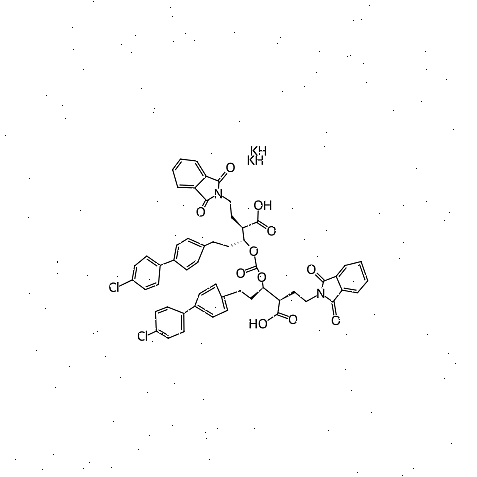 O=C(O[C@H](CCc1ccc(-c2ccc(Cl)cc2)cc1)[C@@H](CCN1C(=O)c2ccccc2C1=O)C(=O)O)O[C@H](CCc1ccc(-c2ccc(Cl)cc2)cc1)[C@@H](CCN1C(=O)c2ccccc2C1=O)C(=O)O.[KH].[KH]